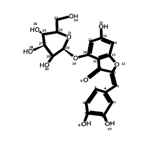 O=C1C(=Cc2ccc(O)c(O)c2)Oc2cc(O)cc(O[C@@H]3OC(CO)[C@@H](O)[C@H](O)C3O)c21